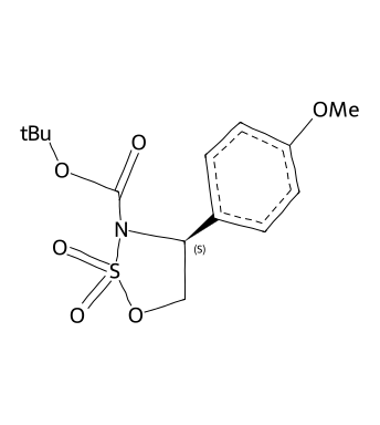 COc1ccc([C@H]2COS(=O)(=O)N2C(=O)OC(C)(C)C)cc1